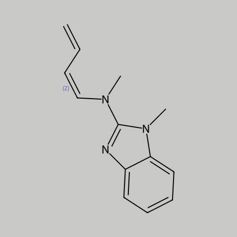 C=C/C=C\N(C)c1nc2ccccc2n1C